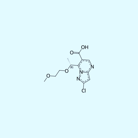 COCCO[C@H](C)c1c(C(=O)O)cnc2cc(Cl)nn12